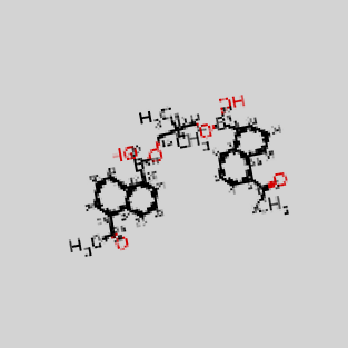 CC(=O)c1cccc2c(B(O)OCC(C)(C)COB(O)c3cccc4c(C(C)=O)cccc34)cccc12